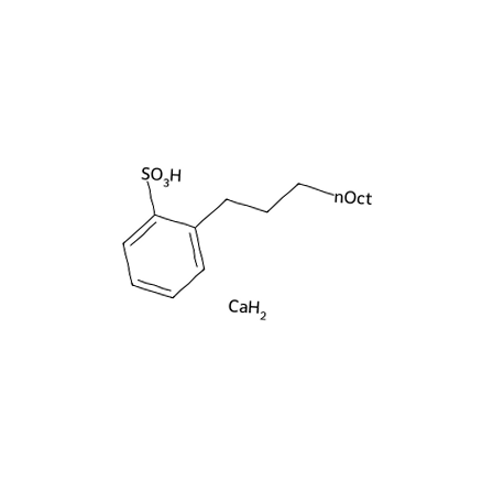 CCCCCCCCCCCc1ccccc1S(=O)(=O)O.[CaH2]